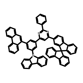 c1ccc(-c2nc(-c3cc(-c4cc5ccccc5c5ccccc45)cc(-n4c5ccccc5c5ccccc54)c3)cc(-c3ccc4c(c3)C3(c5ccccc5-c5ccccc53)c3ccccc3-4)n2)cc1